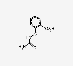 NC(=O)NSc1ccccc1S(=O)(=O)O